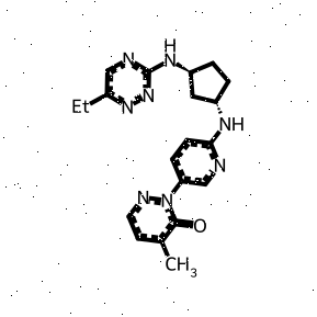 CCc1cnc(N[C@H]2CC[C@H](Nc3ccc(-n4nccc(C)c4=O)cn3)C2)nn1